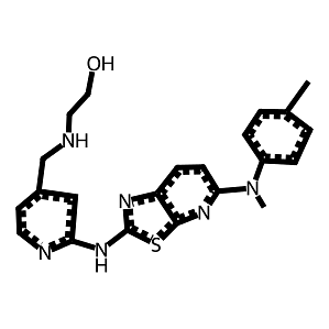 Cc1ccc(N(C)c2ccc3nc(Nc4cc(CNCCO)ccn4)sc3n2)cc1